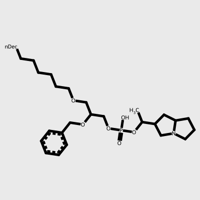 CCCCCCCCCCCCCCCCOCC(COP(=O)(O)OC(C)C1CC2CCCN2C1)OCc1ccccc1